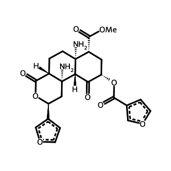 COC(=O)[C@@H]1C[C@H](OC(=O)c2ccoc2)C(=O)[C@H]2[C@@]1(N)CC[C@H]1C(=O)O[C@H](c3ccoc3)C[C@]21N